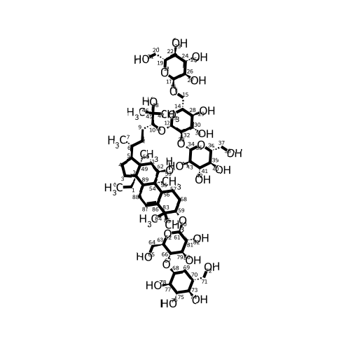 CC[C@@]12CCC([C@H](C)CC[C@@H](O[C@@H]3O[C@H](CO[C@H]4O[C@H](CO)[C@@H](O)[C@H](O)[C@H]4O)[C@@H](O)[C@H](O)[C@H]3O[C@@H]3O[C@H](CO)[C@@H](O)[C@H](O)[C@H]3O)C(C)(C)O)[C@@]1(C)C[C@@H](O)[C@@]1(C)C3CC[C@H](O[C@@H]4O[C@H](CO)[C@@H](O[C@H]5C[C@H](CO)[C@@H](O)[C@H](O)[C@H]5O)[C@H](O)[C@H]4O)C(C)(C)C3=CCC12